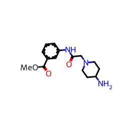 COC(=O)c1cccc(NC(=O)CN2CCC(N)CC2)c1